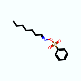 CCCCCCC=NOS(=O)(=O)c1ccccc1